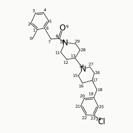 Cc1ccccc1CC(=O)N1CCC(N2CCC(Cc3cccc(Cl)c3)CC2)CC1